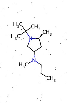 CCCN(C)C1C[C@H](C)N(C(C)(C)C)C1